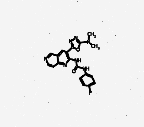 CN(C)c1nnc(-c2cc3cnccc3nc2NC(=O)Nc2ccc(F)cc2)o1